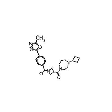 Cc1nnc(-c2ccc(C(=O)N3CC(C(=O)N4CCCN(C5CCC5)CC4)C3)cc2)o1